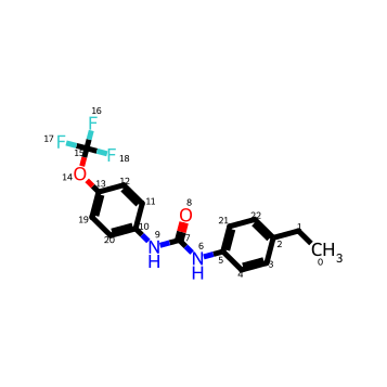 CCc1ccc(NC(=O)Nc2ccc(OC(F)(F)F)cc2)cc1